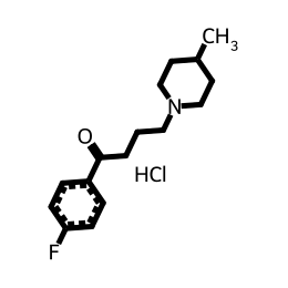 CC1CCN(CCCC(=O)c2ccc(F)cc2)CC1.Cl